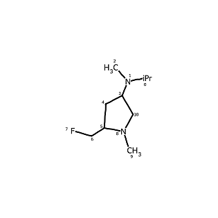 CC(C)N(C)C1CC(CF)N(C)C1